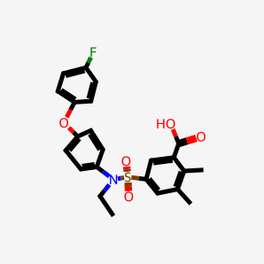 CCN(c1ccc(Oc2ccc(F)cc2)cc1)S(=O)(=O)c1cc(C)c(C)c(C(=O)O)c1